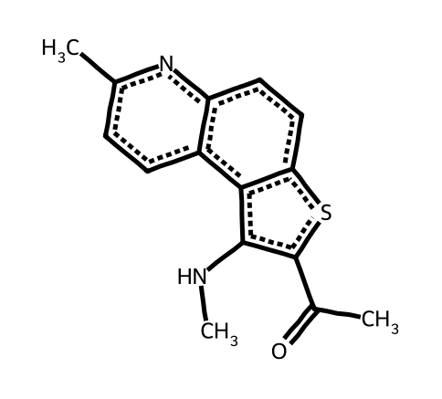 CNc1c(C(C)=O)sc2ccc3nc(C)ccc3c12